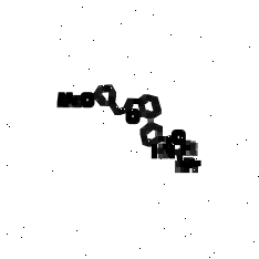 CCCC(CC)NC(=O)c1cccc(-c2cccc3cc(Cc4cccc(OC)c4)oc23)c1